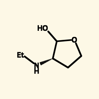 CCN[C@H]1CCOC1O